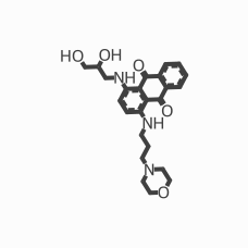 O=C1c2ccccc2C(=O)c2c(NCC(O)CO)ccc(NCCCN3CCOCC3)c21